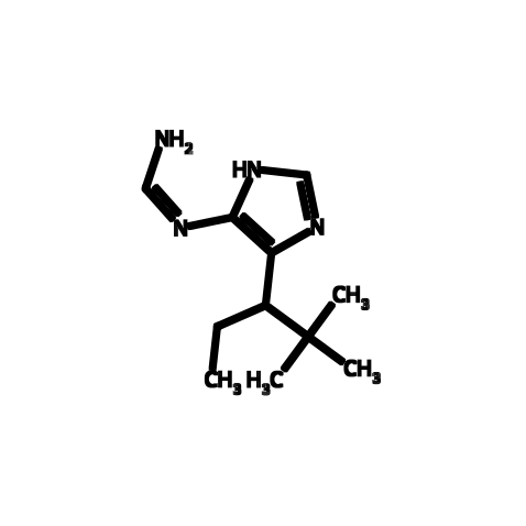 CCC(c1nc[nH]c1/N=C\N)C(C)(C)C